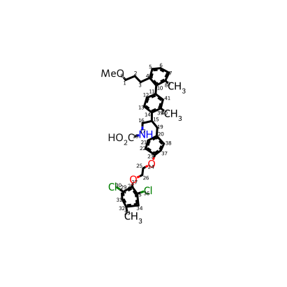 COCCCc1cccc(C)c1-c1ccc(C(CNC(=O)O)Cc2ccc(OCCOc3c(Cl)cc(C)cc3Cl)cc2)c(C)c1